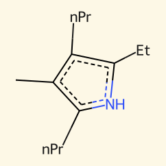 CCCc1[nH]c(CC)c(CCC)c1C